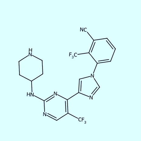 N#Cc1cccc(-n2cnc(-c3nc(NC4CCNCC4)ncc3C(F)(F)F)c2)c1C(F)(F)F